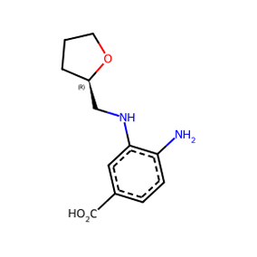 Nc1ccc(C(=O)O)cc1NC[C@H]1CCCO1